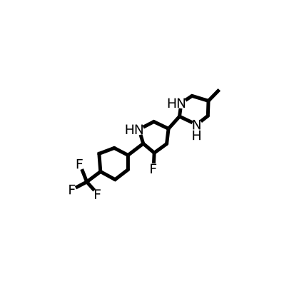 CC1CNC(C2CNC(C3CCC(C(F)(F)F)CC3)C(F)C2)NC1